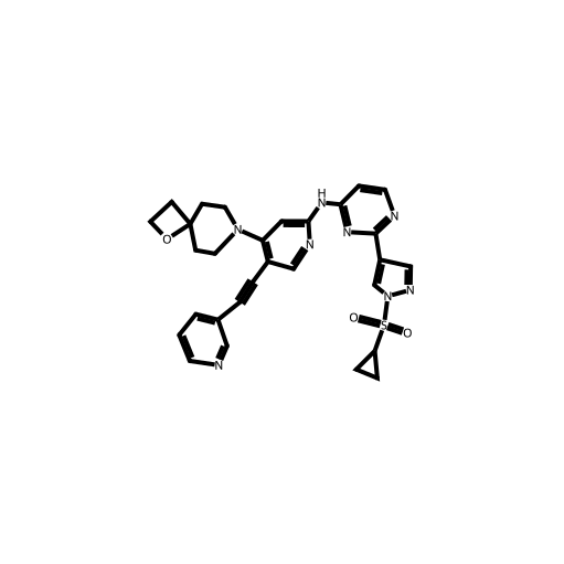 O=S(=O)(C1CC1)n1cc(-c2nccc(Nc3cc(N4CCC5(CCO5)CC4)c(C#Cc4cccnc4)cn3)n2)cn1